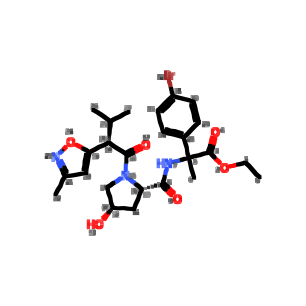 CCOC(=O)C(C)(NC(=O)[C@@H]1C[C@@H](O)CN1C(=O)[C@@H](c1cc(C)no1)C(C)C)c1ccc(Br)cc1